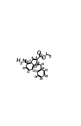 CCOC(=O)c1cc2c(N)cccc2n1Cc1ccccc1